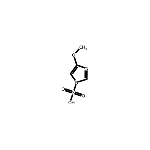 COc1cn(S(=O)(=O)O)cn1